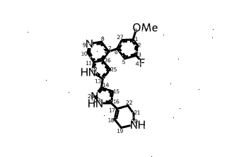 COc1cc(F)cc(-c2cncc3[nH]c(-c4cc(C5=CCNCC5)[nH]n4)cc23)c1